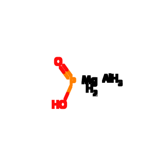 O=PO.[AlH3].[MgH2]